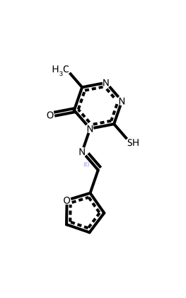 Cc1nnc(S)n(/N=C/c2ccco2)c1=O